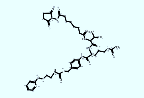 CC(C)C(NC(=O)CCCCCCC(=O)ON1C(=O)CCC1=O)C(=O)N[C@@H](CCCNC(N)=O)C(=O)Nc1ccc(COC(=O)NCCSSc2ccccn2)cc1